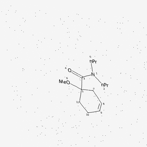 CCCN(CCC)C(=O)C1(OC)CC=CCC1